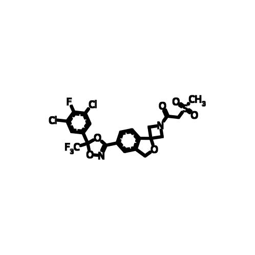 CS(=O)(=O)CC(=O)N1CC2(C1)OCc1cc(C3=NOC(c4cc(Cl)c(F)c(Cl)c4)(C(F)(F)F)O3)ccc12